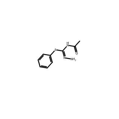 CC(=O)NC(=NN)Sc1ccccc1